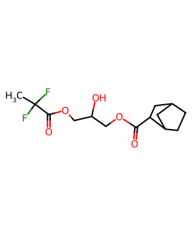 CC(F)(F)C(=O)OCC(O)COC(=O)C1CC2CCC1C2